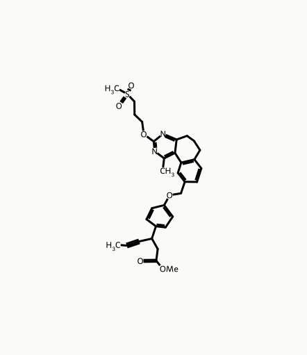 CC#CC(CC(=O)OC)c1ccc(OCc2ccc3c(c2)-c2c(C)nc(OCCCS(C)(=O)=O)nc2CCC3)cc1